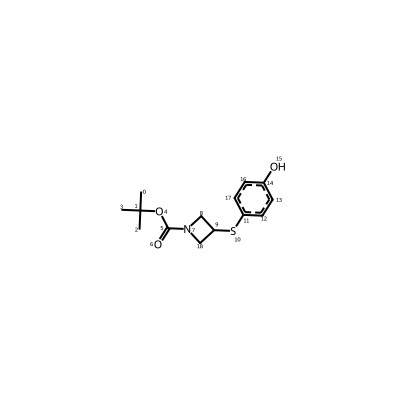 CC(C)(C)OC(=O)N1CC(Sc2ccc(O)cc2)C1